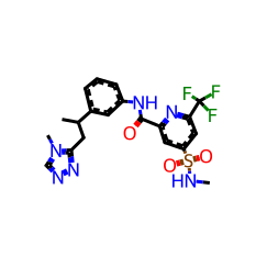 CNS(=O)(=O)c1cc(C(=O)Nc2cccc(C(C)Cc3nncn3C)c2)nc(C(F)(F)F)c1